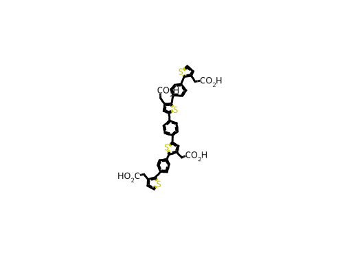 O=C(O)Cc1ccsc1-c1ccc(-c2sc(-c3ccc(-c4cc(CC(=O)O)c(-c5ccc(-c6sccc6CC(=O)O)cc5)s4)cc3)cc2CC(=O)O)cc1